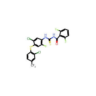 O=C(NC(=S)Nc1cc(Cl)c(Sc2ccc(C(F)(F)F)cc2Cl)cc1F)c1c(F)cccc1F